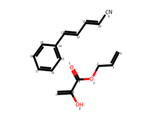 C=CCOC(=O)C(=C)O.N#CC=CC=Cc1ccccc1